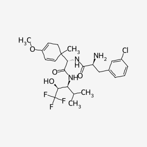 COC1=CCC(C)([C@H](NC(=O)[C@@H](N)Cc2cccc(Cl)c2)C(=O)N[C@@H](C(C)C)[C@H](O)C(F)(F)F)C=C1